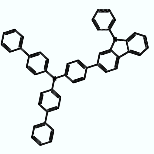 c1ccc(-c2ccc(N(c3ccc(-c4ccccc4)cc3)c3ccc(-c4ccc5c6ccccc6n(-c6ccccc6)c5c4)cc3)cc2)cc1